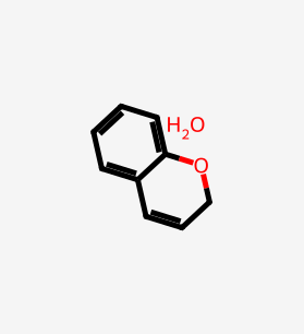 C1=Cc2ccccc2OC1.O